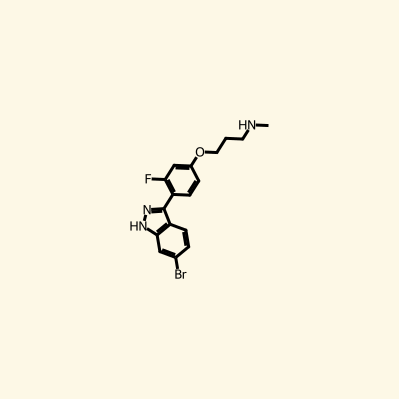 CNCCCOc1ccc(-c2n[nH]c3cc(Br)ccc23)c(F)c1